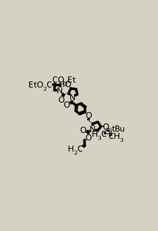 C=CCOC(=O)N1C[C@H](O[Si](C)(C)C(C)(C)C)C[C@H]1COc1ccc(C(=O)N2CC[C@H](O)[C@H]2C(=O)N2CC(C(=O)OCC)(C(=O)OCC)C2)cc1